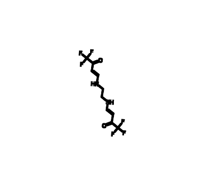 O=C(C=CNCCNC=CC(=O)C(F)(F)F)C(F)(F)F